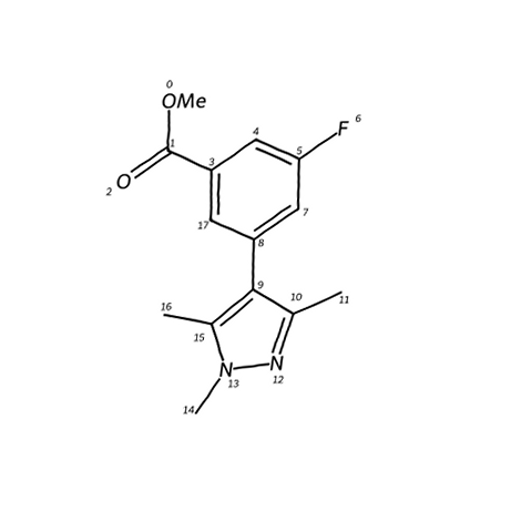 COC(=O)c1cc(F)cc(-c2c(C)nn(C)c2C)c1